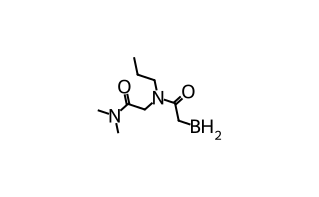 BCC(=O)N(CCC)CC(=O)N(C)C